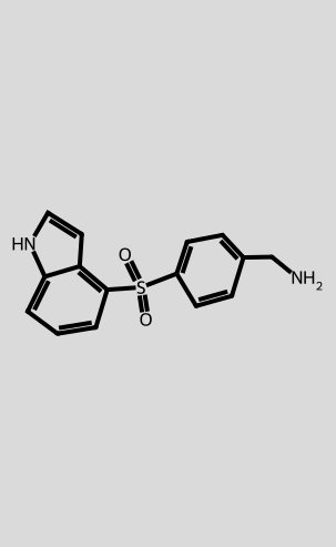 NCc1ccc(S(=O)(=O)c2cccc3[nH]ccc23)cc1